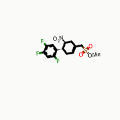 COS(=O)(=O)CC1=CC[C@H](c2cc(F)c(F)cc2F)[C@@H]([N+](=O)[O-])C1